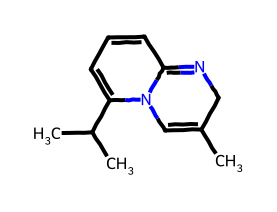 CC1=CN2C(C(C)C)=CC=CC2=NC1